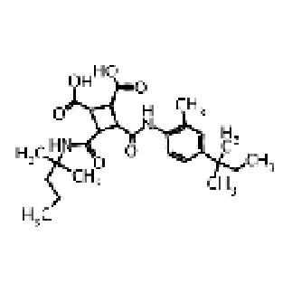 CCCC(C)(C)NC(=O)C1C(C(=O)O)C(C(=O)O)C1C(=O)Nc1ccc(C(C)(C)CC)cc1C